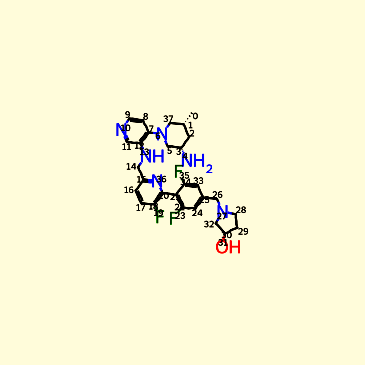 C[C@@H]1C[C@H](N)CN(c2ccncc2NCc2ccc(F)c(-c3c(F)cc(CN4CC[C@@H](O)C4)cc3F)n2)C1